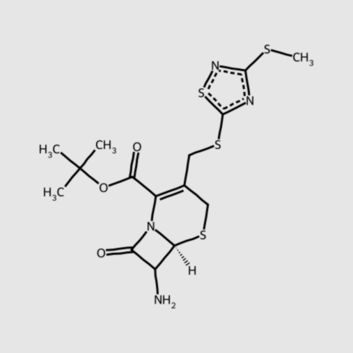 CSc1nsc(SCC2=C(C(=O)OC(C)(C)C)N3C(=O)C(N)[C@@H]3SC2)n1